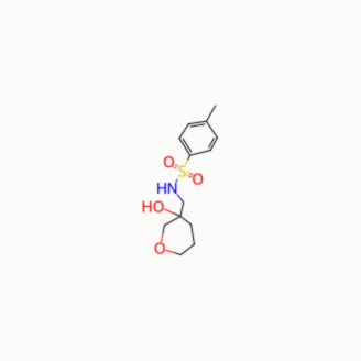 Cc1ccc(S(=O)(=O)NCC2(O)CCCOC2)cc1